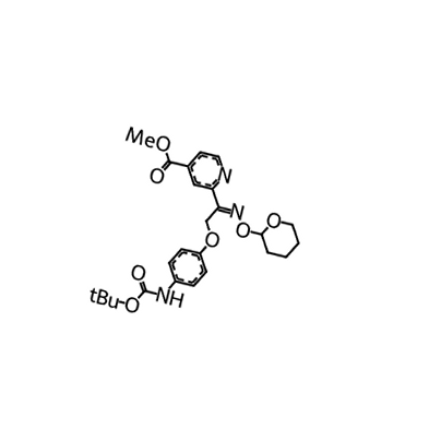 COC(=O)c1ccnc(/C(COc2ccc(NC(=O)OC(C)(C)C)cc2)=N/OC2CCCCO2)c1